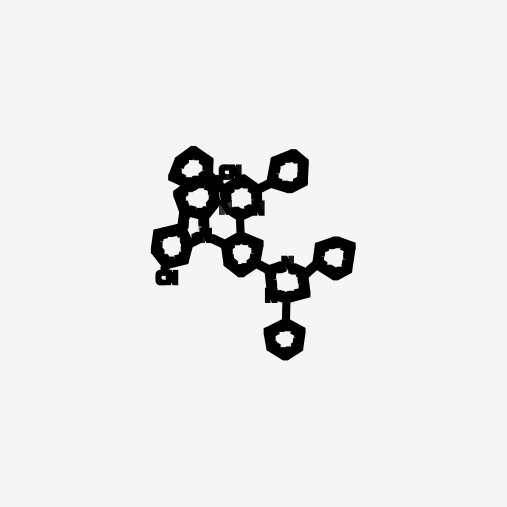 N#Cc1ccc2c3ccc(C#N)cc3n(-c3ccc(-c4nc(-c5ccccc5)cc(-c5ccccc5)n4)cc3-c3nc(-c4ccccc4)cc(-c4ccccc4)n3)c2c1